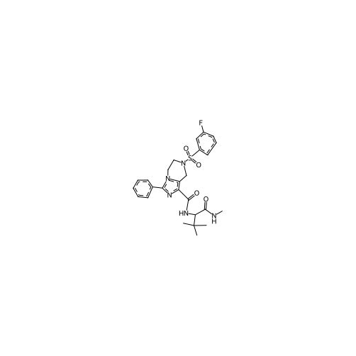 CNC(=O)C(NC(=O)c1nc(-c2ccccc2)n2c1CN(S(=O)(=O)c1cccc(F)c1)CC2)C(C)(C)C